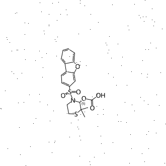 CC1(C)SCCN(S(=O)(=O)c2ccc3c(c2)oc2ccccc23)[C@H]1OC(=O)O